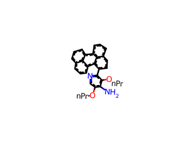 CCCOc1cnc(-c2ccc3cccc4c5cccc6cccc(c2c34)c65)c(OCCC)c1N